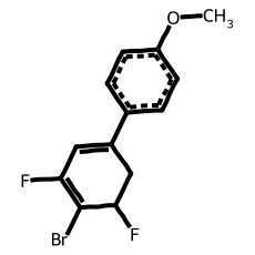 COc1ccc(C2=CC(F)=C(Br)C(F)C2)cc1